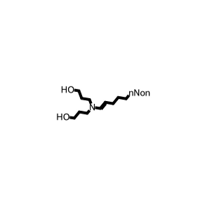 CCCCCCCCCCCCC=CN(CCCO)CCCO